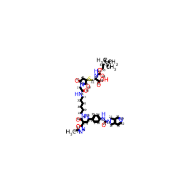 Cc1nnc(-c2cc(-c3ccc(NC(=O)N4Cc5ccncc5C4)cc3)nn(CCCCCCNC(=O)CN3C(=O)CC(SC[C@H](NC(=O)OCC[Si](C)(C)C)C(=O)O)C3=O)c2=O)o1